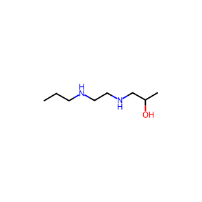 CCCNCCNCC(C)O